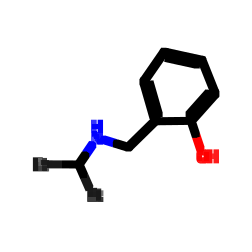 CCC(CC)NCc1ccccc1O